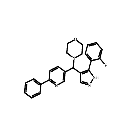 Fc1ccccc1-c1[nH]ncc1C(c1ccc(-c2ccccc2)nc1)N1CCOCC1